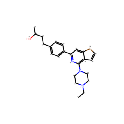 CCN1CCN(c2nc(-c3ccc(CCC(C)O)cc3)cc3sccc23)CC1